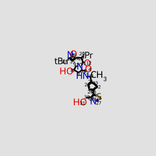 CC(NC(=O)C1CC(O)CN1C(=O)C(c1cc(C(C)(C)C)no1)C(C)C)c1ccc(-c2scnc2CO)cc1